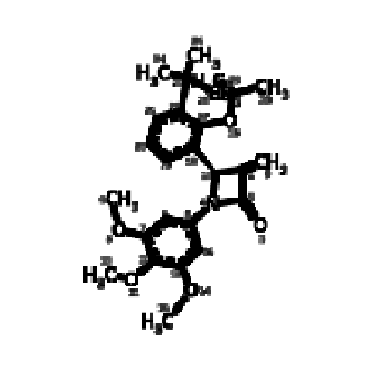 C=C1C(=O)N(c2cc(OC)c(OC)c(OC)c2)[C@H]1c1cccc(C(C)(C)C)c1O[SiH](C)C